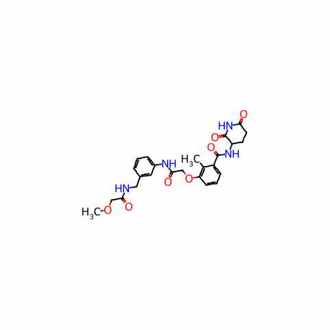 COCC(=O)NCc1cccc(NC(=O)COc2cccc(C(=O)NC3CCC(=O)NC3=O)c2C)c1